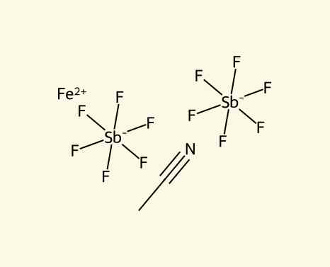 CC#N.[F][Sb-]([F])([F])([F])([F])[F].[F][Sb-]([F])([F])([F])([F])[F].[Fe+2]